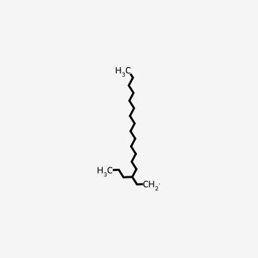 [CH2]CC(CCC)CCCCCCCCCCCCCC